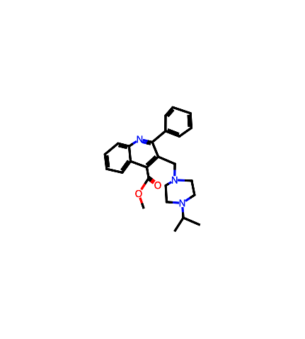 COC(=O)c1c(CN2CCN(C(C)C)CC2)c(-c2ccccc2)nc2ccccc12